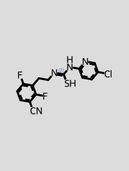 N#Cc1ccc(F)c(CC/N=C(\S)Nc2ccc(Cl)cn2)c1F